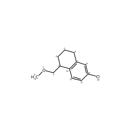 COCC1CCCc2cc(Cl)ccc21